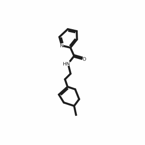 CC1CC=C(CCNC(=O)c2ccccn2)CC1